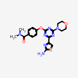 CN(C)C(=O)c1ccc(Oc2nc(-c3csc(N)n3)nc(N3CCOCC3)n2)cc1